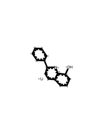 Oc1cccc2ccc(-c3ccccc3)nc12.[Li]